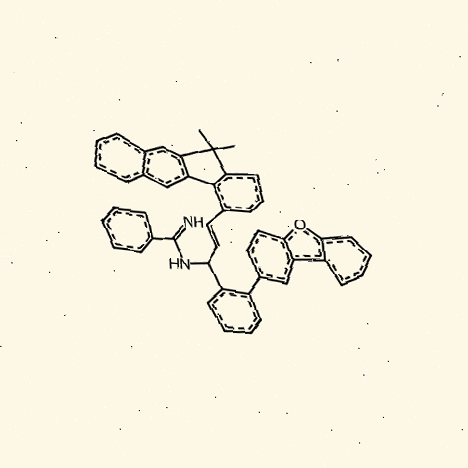 CC1(C)c2cc3ccccc3cc2-c2c(/C=C/C(NC(=N)c3ccccc3)c3ccccc3-c3ccc4oc5ccccc5c4c3)cccc21